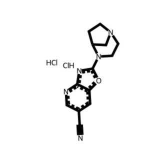 Cl.Cl.N#Cc1cnc2nc(N3CCN4CCC3C4)oc2c1